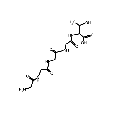 CC(O)C(NC(=O)CNC(=O)CNC(=O)CNC(=O)CN)C(=O)O